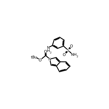 CC(C)(C)OC(=O)n1cc2ccccc2c1.Nc1cccc(S(N)(=O)=O)c1